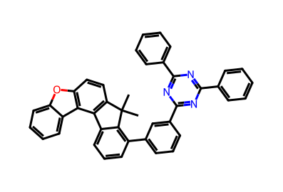 CC1(C)c2ccc3oc4ccccc4c3c2-c2cccc(-c3cccc(-c4nc(-c5ccccc5)nc(-c5ccccc5)n4)c3)c21